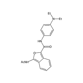 CCN(CC)c1ccc(NC(=O)c2oc(NC(C)=O)c3ccccc23)cc1